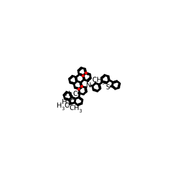 CC1C(c2cccc3c2sc2ccccc23)=CC=CC1N(C1=CCC(C)(C2=CC=CC3C(C)(C)c4ccccc4C23C)C=C1)c1ccccc1-c1cccc2cccc(-c3ccccc3)c12